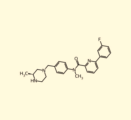 C[C@H]1CN(Cc2ccc(N(C)C(=O)c3cccc(-c4cccc(F)c4)n3)cc2)CCN1